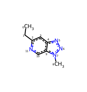 CCc1cc2nnn(C)c2cn1